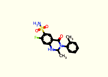 Cc1ccccc1N1C(=O)c2cc(S(N)(=O)=O)c(F)cc2NC1C